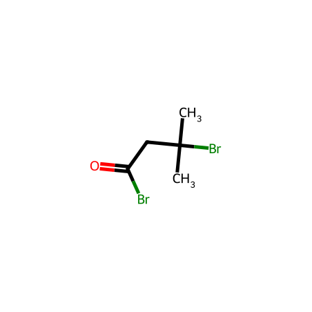 CC(C)(Br)CC(=O)Br